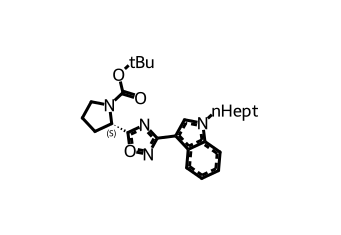 CCCCCCCn1cc(-c2noc([C@@H]3CCCN3C(=O)OC(C)(C)C)n2)c2ccccc21